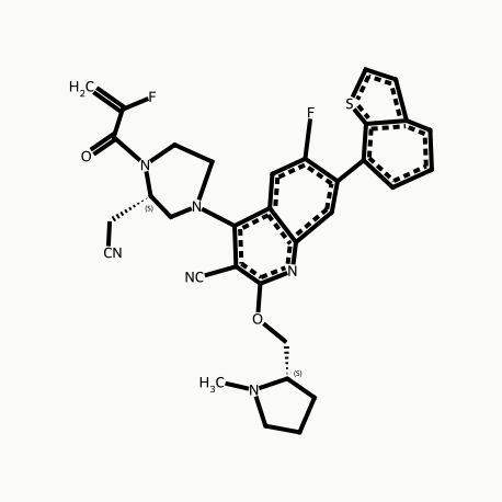 C=C(F)C(=O)N1CCN(c2c(C#N)c(OC[C@@H]3CCCN3C)nc3cc(-c4cccc5ccsc45)c(F)cc23)C[C@@H]1CC#N